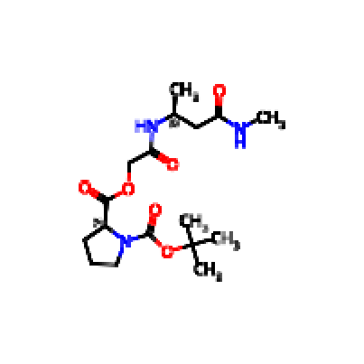 CNC(=O)C[C@H](C)NC(=O)COC(=O)[C@@H]1CCCN1C(=O)OC(C)(C)C